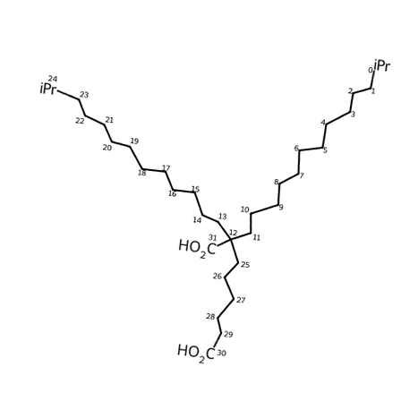 CC(C)CCCCCCCCCCCC(CCCCCCCCCCCC(C)C)(CCCCCC(=O)O)C(=O)O